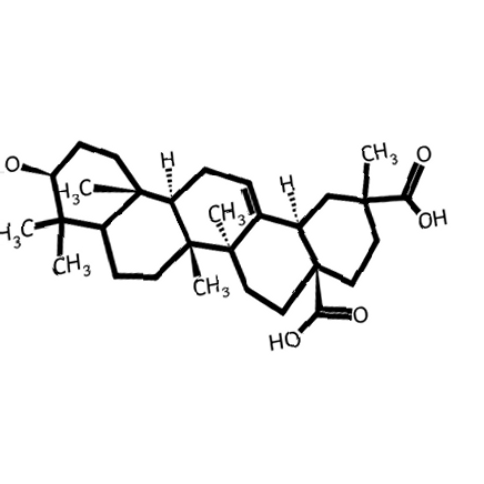 CC1(C(=O)O)CC[C@]2(C(=O)O)CC[C@]3(C)C(=CC[C@@H]4[C@@]5(C)CC[C@H](O)C(C)(C)C5CC[C@]43C)[C@H]2C1